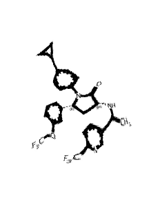 CC(N[C@@H]1C[C@H](c2cccc(OC(F)(F)F)c2)N(c2ccc(C3CC3)cc2)C1=O)c1ccc(C(F)(F)F)nc1